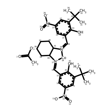 CC(=O)[O-].CC(C)(C)c1cc([N+](=O)[O-])cc(C=[N+]2[Co][N+](=Cc3cc([N+](=O)[O-])cc(C(C)(C)C)c3O)C3CCCCC32)c1O